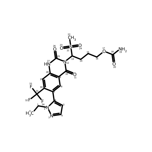 CCn1nccc1-c1cc2c(=O)n(C(CCCOC(N)=O)S(C)(=O)=O)c(=O)[nH]c2cc1C(F)(F)F